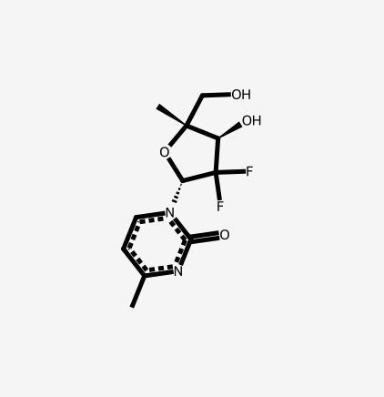 Cc1ccn([C@@H]2O[C@](C)(CO)[C@@H](O)C2(F)F)c(=O)n1